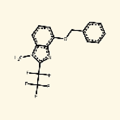 Cn1c(C(F)(F)C(F)(F)F)nc2c(OCc3ccccc3)cccc21